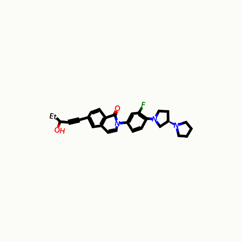 CCC(O)C#Cc1ccc2c(=O)n(-c3ccc(N4CC[C@@H](N5CCCC5)C4)c(F)c3)ccc2c1